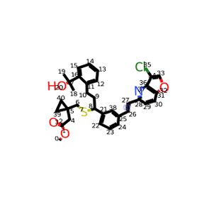 COC(=O)CC1(CSC(CCc2ccccc2C(C)(C)O)c2cccc(/C=C/c3ccc4occ(Cl)c4n3)c2)CC1